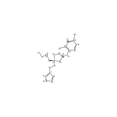 CCOC[C@@]1(CCc2ccsc2)CCN(Cc2ccc(C)nc2C)C1